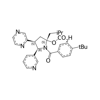 CC(C)C[C@]1(OC(=O)O)C[C@H](c2cnccn2)[C@H](c2cccnc2)N1C(=O)c1ccc(C(C)(C)C)cc1